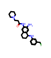 Nc1cc2c(cc1NC(=O)CCN1CCCCC1)CCCC2Nc1cccc(CF)c1